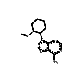 CO[C@H]1CCCC[C@H]1n1nnc2c(N)ncnc21